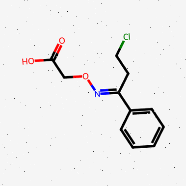 O=C(O)CON=C(CCCl)c1ccccc1